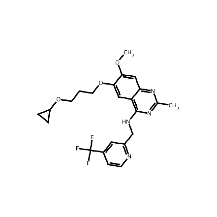 COc1cc2nc(C)nc(NCc3cc(C(F)(F)F)ccn3)c2cc1OCCCOC1CC1